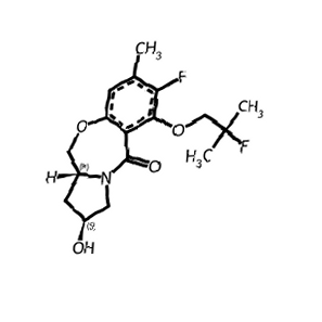 Cc1cc2c(c(OCC(C)(C)F)c1F)C(=O)N1C[C@@H](O)C[C@@H]1CO2